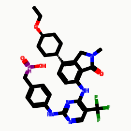 CCO[C@H]1CC[C@H](c2ccc(Nc3nc(Nc4ccc(C[PH](=O)O)cc4)ncc3C(F)(F)F)c3c2CN(C)C3=O)CC1